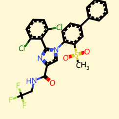 CS(=O)(=O)c1cc(-c2ccccc2)ccc1-n1cc(C(=O)NCC(F)(F)F)nc1-c1c(Cl)cccc1Cl